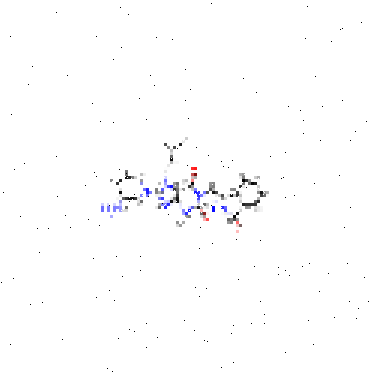 CC(C)=CCn1c(N2CCCC(N)C2)nc2c1c(=O)n(/C=C1\NC(=O)c3ccccc31)c(=O)n2C